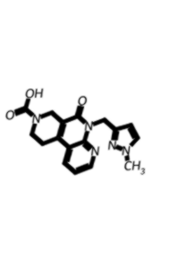 Cn1ccc(Cn2c(=O)c3c(c4cccnc42)CCN(C(=O)O)C3)n1